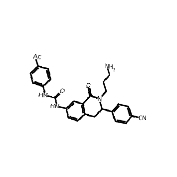 CC(=O)c1ccc(NC(=O)Nc2ccc3c(c2)C(=O)N(CCCN)C(c2ccc(C#N)cc2)C3)cc1